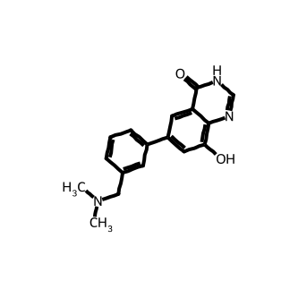 CN(C)Cc1cccc(-c2cc(O)c3nc[nH]c(=O)c3c2)c1